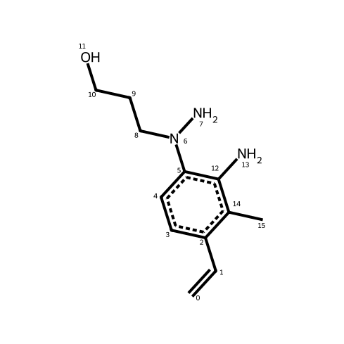 C=Cc1ccc(N(N)CCCO)c(N)c1C